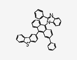 c1ccc(-c2ccc3c(-n4c(-c5ccccc5)nc5ccccc54)c4ccccc4c(-c4ccc5sc6ccccc6c5c4)c3c2)cc1